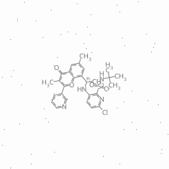 Cc1cc([C@@H](C)Nc2ccc(Cl)nc2S(=O)(=O)NC(C)(C)C)c2oc(-c3cccnc3)c(C)c(=O)c2c1